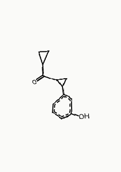 O=C(C1CC1)C1CC1c1cccc(O)c1